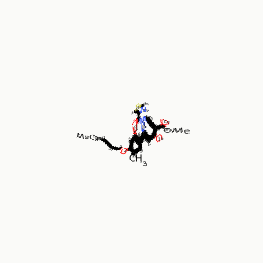 COCCCOc1cc2c(cc1C)-c1cc(=O)c(C(=O)OC)cn1[C@H](c1cscn1)O2